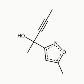 CC#CC(C)(O)c1cc(C)on1